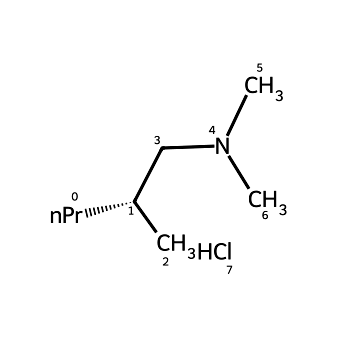 CCC[C@@H](C)CN(C)C.Cl